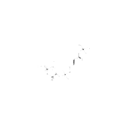 C[C@@H]1O[C@@H](OC(C)(C)CCC=CC(=O)OC(C)(C)C)[C@H](O)C[C@H]1O